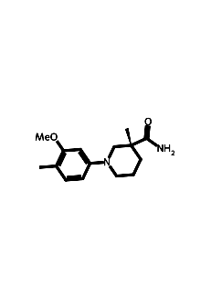 COc1cc(N2CCC[C@@](C)(C(N)=O)C2)ccc1C